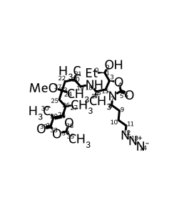 CC[C@@H](O)[C@H]1OC(=O)N(CCCCN=[N+]=[N-])[C@@H]1[C@@H](C)NCC(C)CC(C)(C[C@@H](C)C1=C(C)C(=O)O[C@H](C)O1)OC